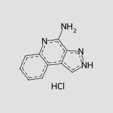 Cl.Nc1nc2ccccc2c2c[nH]nc12